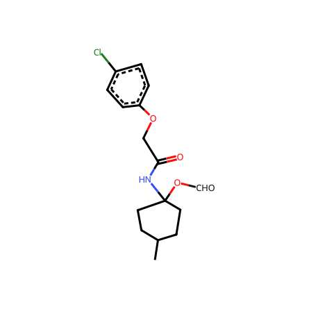 CC1CCC(NC(=O)COc2ccc(Cl)cc2)(OC=O)CC1